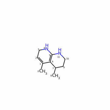 CC1=CCNC2=C1C(C)CCN2